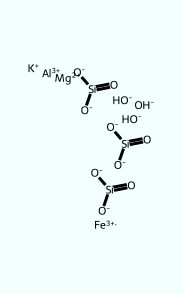 O=[Si]([O-])[O-].O=[Si]([O-])[O-].O=[Si]([O-])[O-].[Al+3].[Fe+3].[K+].[Mg+2].[OH-].[OH-].[OH-]